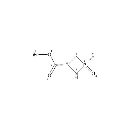 CC(C)OC(=O)[C@@H]1C[P@@](C)(=O)N1